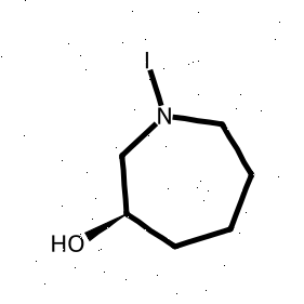 O[C@@H]1CCCCN(I)C1